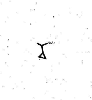 CNC(C)C1CC1